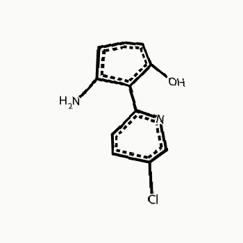 Nc1cccc(O)c1-c1ccc(Cl)cn1